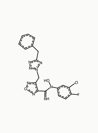 N=C(c1nonc1Cn1nnc(Cc2ccccc2)n1)N(O)c1ccc(F)c(Cl)c1